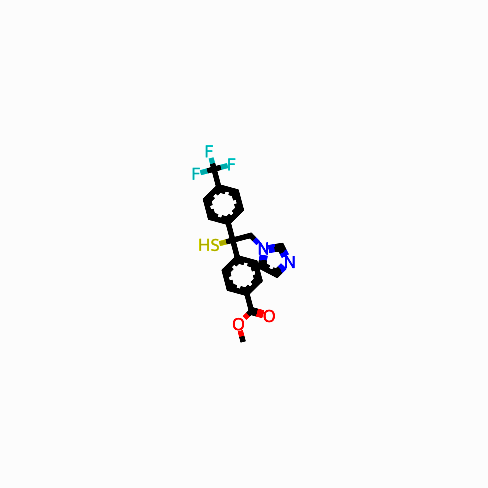 COC(=O)c1ccc(C(S)(Cn2ccnc2)c2ccc(C(F)(F)F)cc2)cc1